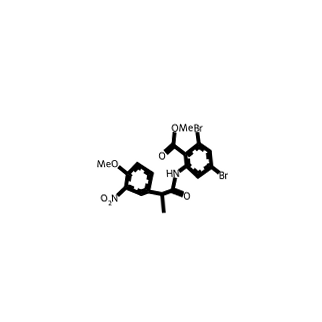 COC(=O)c1c(Br)cc(Br)cc1NC(=O)C(C)c1ccc(OC)c([N+](=O)[O-])c1